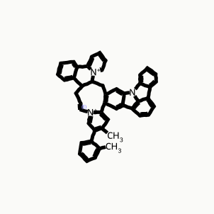 Cc1ccccc1-c1c[n+]2c(cc1C)-c1cc3c4cccc5c6ccccc6n(c3cc1CC1C(C/C=C/2)c2ccccc2-c2cccc[n+]21)c54